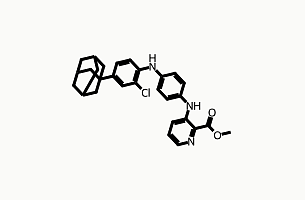 COC(=O)c1ncccc1Nc1ccc(Nc2ccc(C34CC5CC(CC(C5)C3)C4)cc2Cl)cc1